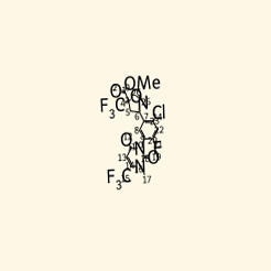 COC(=O)C1(C(F)(F)F)CC(c2cc(-n3c(=O)cc(C(F)(F)F)n(C)c3=O)c(F)cc2Cl)=NO1